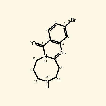 O=c1c2ccc(Br)cc2nc2n1CCCNCC2